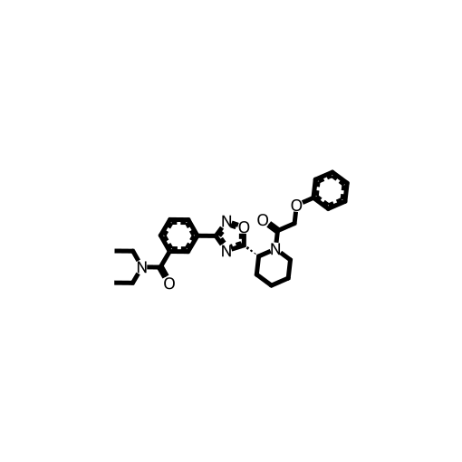 CCN(CC)C(=O)c1cccc(-c2noc([C@H]3CCCCN3C(=O)COc3ccccc3)n2)c1